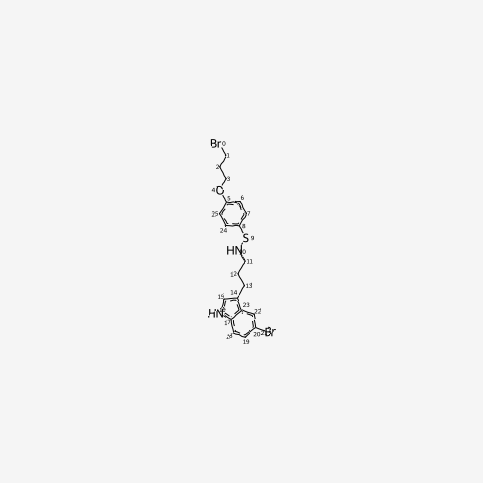 BrCCCOc1ccc(SNCCCc2c[nH]c3ccc(Br)cc23)cc1